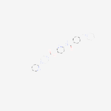 Cc1ccc(N2CCN(C(=O)Oc3ccc(NC(=O)c4ccc(CN5CCCCC5)cc4)nc3)CC2)nc1